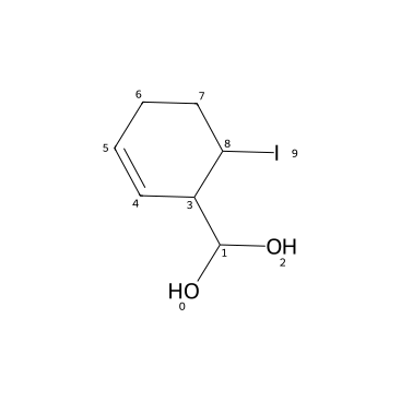 OC(O)C1C=CCCC1I